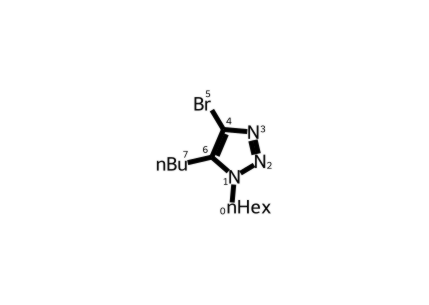 CCCCCCn1nnc(Br)c1CCCC